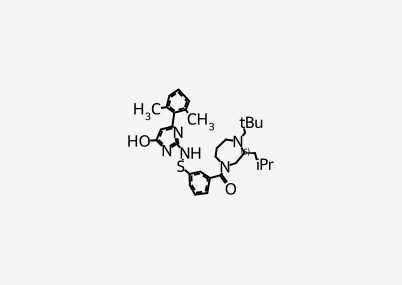 Cc1cccc(C)c1-c1cc(O)nc(NSc2cccc(C(=O)N3CCCN(CC(C)(C)C)[C@@H](CC(C)C)C3)c2)n1